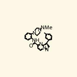 CNN1CCN(c2ccccc2NC(=O)c2ccn3ncc(-c4cccc(C)c4)c3n2)CC1